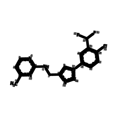 Cc1ccnc(NCc2cn(-c3ccc(Cl)c(C(F)F)c3)nn2)n1